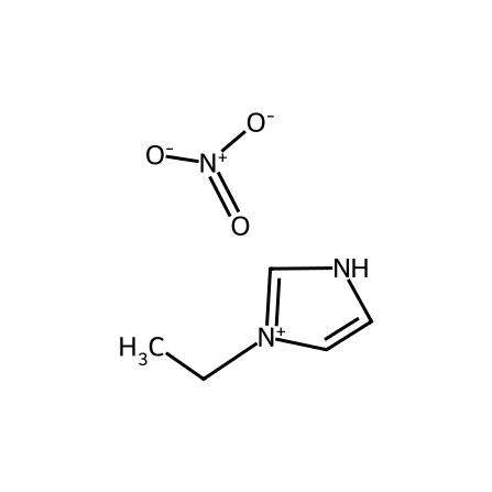 CC[n+]1cc[nH]c1.O=[N+]([O-])[O-]